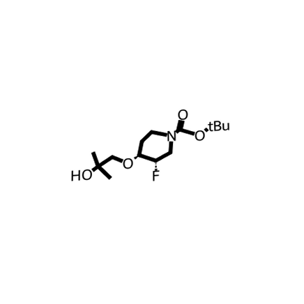 CC(C)(O)CO[C@@H]1CCN(C(=O)OC(C)(C)C)C[C@@H]1F